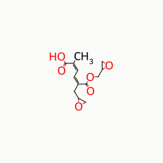 CC(=CC=C(CC1CO1)C(=O)OCC1CO1)C(=O)O